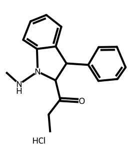 CCC(=O)C1C(c2ccccc2)c2ccccc2N1NC.Cl